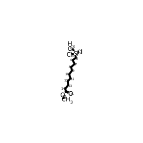 CC[Si](Cl)(Cl)CCCCCCCCCCC(=O)OC